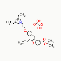 CCCCc1oc2ccc(C(=O)OC(C)C)cc2c1Cc1ccc(OCCCN2C[C@H](CC)C[C@H](CC)C2)cc1.O=C(O)C(=O)O